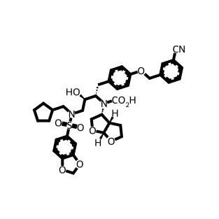 N#Cc1cccc(COc2ccc(C[C@@H]([C@H](O)CN(CC3CCCC3)S(=O)(=O)c3ccc4c(c3)OCO4)N(C(=O)O)[C@H]3CO[C@H]4OCC[C@H]43)cc2)c1